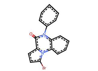 O=c1c2ccc(Br)n2c2ccccc2n1-c1ccccc1